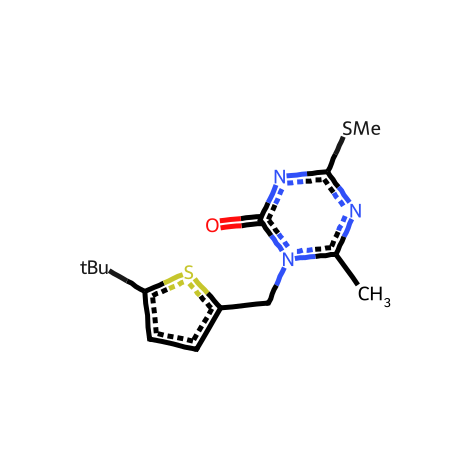 CSc1nc(C)n(Cc2ccc(C(C)(C)C)s2)c(=O)n1